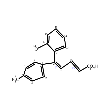 O=C(O)/C=C/C=C(/c1ccc(C(F)(F)F)cc1)c1ccccc1O